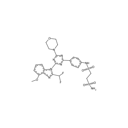 COc1cccc2c1nc(C(F)F)n2-c1nc(-c2ccc(NS(=O)(=O)CCS(N)(=O)=O)cc2)nc(N2CCOCC2)n1